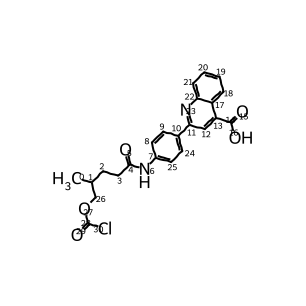 CC(CCC(=O)Nc1ccc(-c2cc(C(=O)O)c3ccccc3n2)cc1)COC(=O)Cl